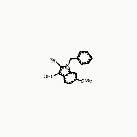 COc1ccc2c(C=O)c(C(C)C)n(Cc3ccccc3)c2c1